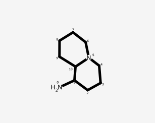 NC1CCCN2CCCCC12